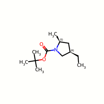 CC[C@@H]1C[C@H](C)N(C(=O)OC(C)(C)C)C1